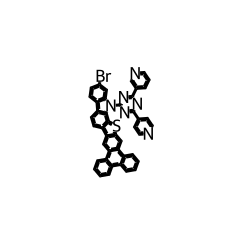 Brc1ccc2c3ccc4c5cc6c7ccccc7c7ccccc7c6cc5sc4c3n(-c3nc(-c4ccncc4)nc(-c4cccnc4)n3)c2c1